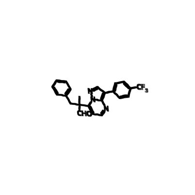 CC(C=O)(Cc1ccccc1)c1ccnc2c(-c3ccc(C(F)(F)F)cc3)cnn12